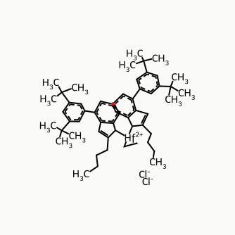 CCCCC1=Cc2c(-c3cc(C(C)(C)C)cc(C(C)(C)C)c3)cccc2[CH]1[Hf+2]1([CH]2C(CCCC)=Cc3c(-c4cc(C(C)(C)C)cc(C(C)(C)C)c4)cccc32)[CH2][CH2]1.[Cl-].[Cl-]